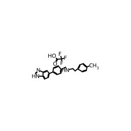 Cc1ccc(CCNCc2ccc(-c3ccc4[nH]cnc4c3)cc2)cc1.O=C(O)C(F)(F)F